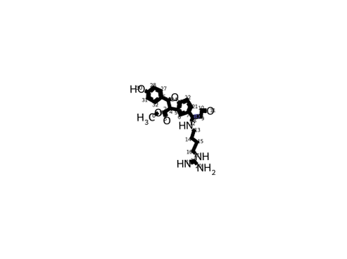 COC(=O)C1c2cc(/C(=C\C=O)NCCCCNC(=N)N)ccc2OC1c1ccc(O)cc1